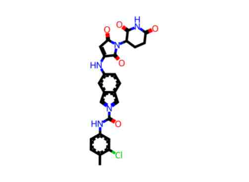 Cc1ccc(NC(=O)n2cc3ccc(NC4=CC(=O)N(C5CCC(=O)NC5=O)C4=O)cc3c2)cc1Cl